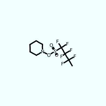 CC(F)(F)C(F)(F)C(F)(F)S(=O)(=O)ON1CCCCC1